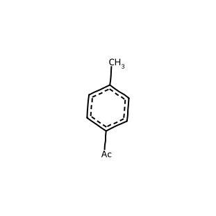 [CH2]C(=O)c1ccc(C)cc1